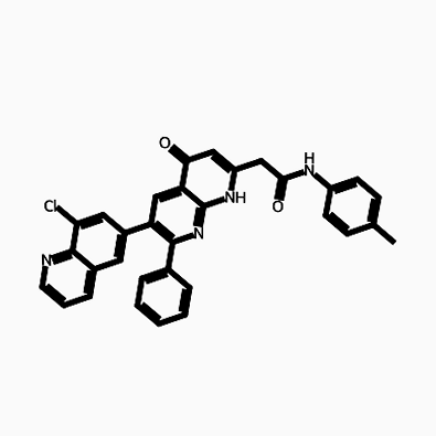 Cc1ccc(NC(=O)Cc2cc(=O)c3cc(-c4cc(Cl)c5ncccc5c4)c(-c4ccccc4)nc3[nH]2)cc1